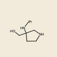 CC(C)NC1(CO)CCNC1